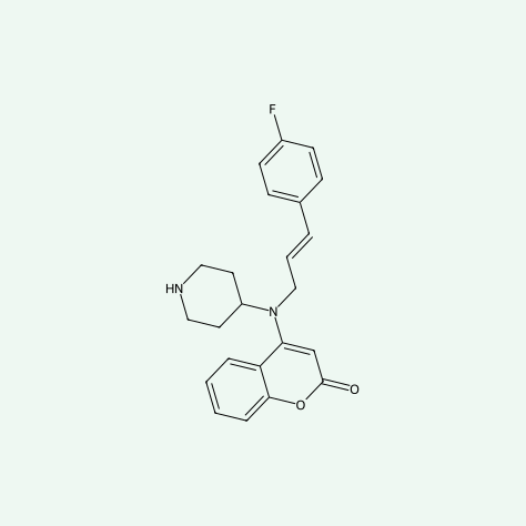 O=c1cc(N(C/C=C/c2ccc(F)cc2)C2CCNCC2)c2ccccc2o1